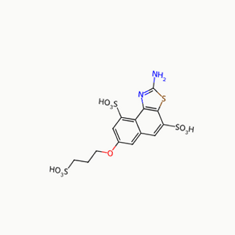 Nc1nc2c(s1)c(S(=O)(=O)O)cc1cc(OCCCS(=O)(=O)O)cc(S(=O)(=O)O)c12